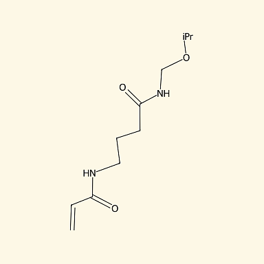 C=CC(=O)NCCCC(=O)NCOC(C)C